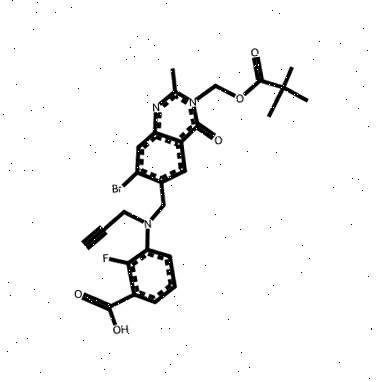 C#CCN(Cc1cc2c(=O)n(COC(=O)C(C)(C)C)c(C)nc2cc1Br)c1cccc(C(=O)O)c1F